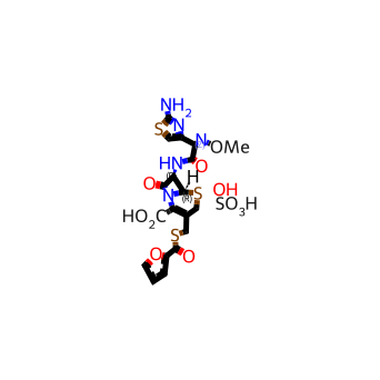 CO/N=C(\C(=O)N[C@@H]1C(=O)N2C(C(=O)O)=C(CSC(=O)c3ccco3)CS[C@H]12)c1csc(N)n1.O=S(=O)(O)O